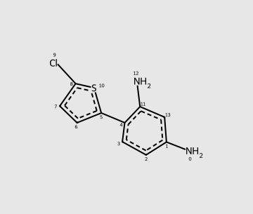 Nc1ccc(-c2ccc(Cl)s2)c(N)c1